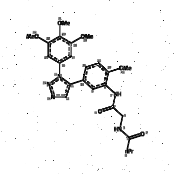 CCCC(=O)NCC(=O)Nc1cc(-c2cnnn2-c2cc(OC)c(OC)c(OC)c2)ccc1OC